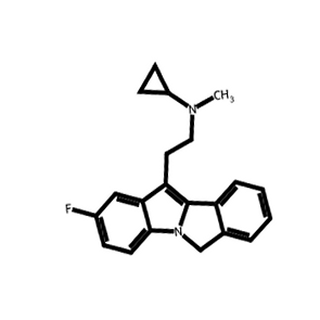 CN(CCc1c2n(c3ccc(F)cc13)Cc1ccccc1-2)C1CC1